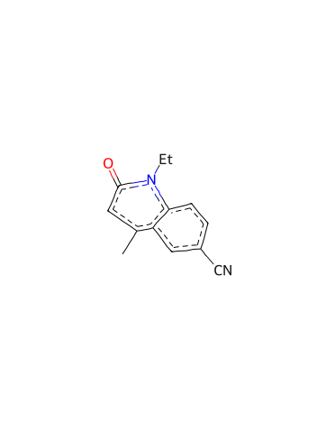 CCn1c(=O)cc(C)c2cc(C#N)ccc21